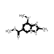 COC(=O)c1cc(OC)c2nc(C)nn2c1